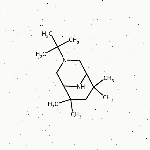 CC1(C)CC(C)(C)C2CN(C(C)(C)C)CC1N2